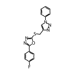 Fc1ccc(-c2nnc(SCc3cn(-c4ccccc4)nn3)o2)cc1